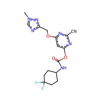 Cn1cnc(COc2cc(OC(=O)NC3CCC(F)(F)CC3)nc(C#N)n2)n1